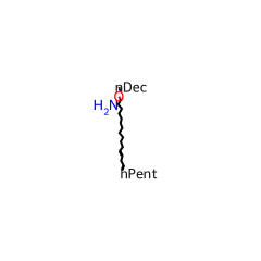 CCCCCC=CCC=CCCCCCCCCCC(N)COCCCCCCCCCCC